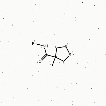 CCNC(=O)C1(C)CSSC1